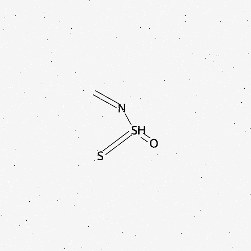 C=N[SH](=O)=S